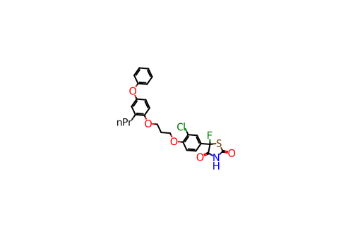 CCCc1cc(Oc2ccccc2)ccc1OCCCOc1ccc(C2(F)SC(=O)NC2=O)cc1Cl